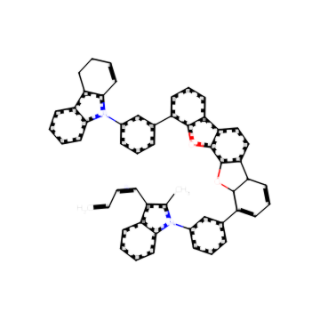 C=C/C=C\c1c(C)n(-c2cccc(C3=CC=CC4c5ccc6c(oc7c(-c8cccc(-n9c%10c(c%11ccccc%119)CCC=C%10)c8)cccc76)c5OC34)c2)c2ccccc12